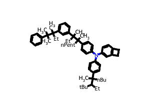 CCCCCC(C)(c1ccc(N(c2ccc(C(C)(CCCC)C(CC)C(C)(C)C)cc2)c2ccc3c(c2)CC3)cc1)C(C)(CC)c1cccc(C(C)(CC)C(C)(C)c2ccccc2)c1